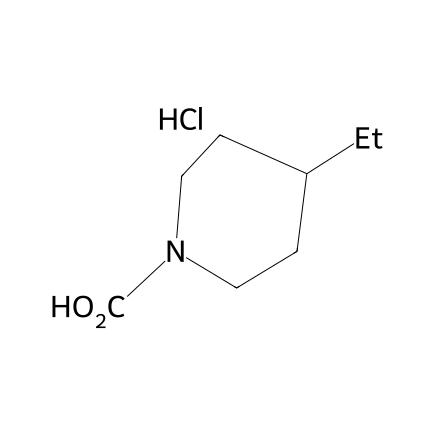 CCC1CCN(C(=O)O)CC1.Cl